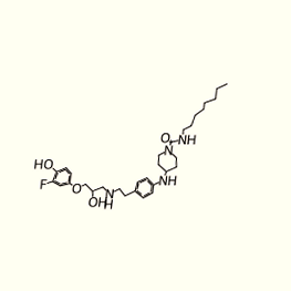 CCCCCCCCNC(=O)N1CCC(Nc2ccc(CCNCC(O)COc3ccc(O)c(F)c3)cc2)CC1